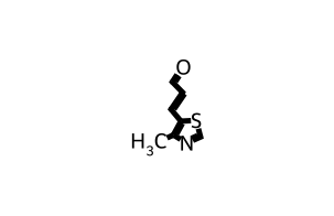 Cc1ncsc1C=CC=O